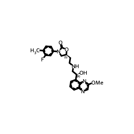 COc1cnc2cccc([C@@H](O)CNCC[C@H]3CN(c4ccc(C)c(F)c4)C(=O)O3)c2n1